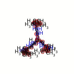 CNC(COCCCC(=O)NCCCNCCOC1OC(COC(C)=O)C(OC(C)=O)C(OC(C)=O)C1NC(C)=O)(COCCC(=O)NCCCNOC1OC(COC(C)=O)C(OC(C)=O)C(OC(C)=O)C1NC(C)=O)COCCC(=O)NCCCNC(=O)CCCCOC1OC(COC(C)=O)C(OC(C)=O)C(OC(C)=O)C1NC(C)=O